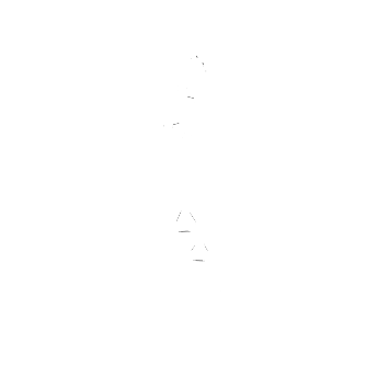 CCCCCC1CCC(c2ccc(-c3ccc(OCCCCCCOC(=O)CCC(=O)OC4CC(C)(C)N(C)C(C)(C)C4)cc3)cc2)CC1